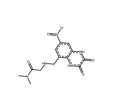 CN(C)C(=O)CNCc1cc([N+](=O)[O-])cc2[nH]c(=O)c(=O)[nH]c12